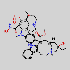 CCC1(O)C[C@H]2C[N@](CCc3c([nH]c4ccccc34)[C@@](C(=O)OC)(c3ccc4c(c3)[C@]35CCN6CC=C[C@](CC)(C63)[C@@H](O)[C@](O)(C(=O)NO)C5N4C)C2)C1